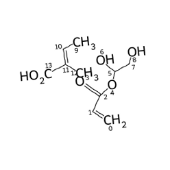 C=CC(=O)OC(O)CO.CC=C(C)C(=O)O